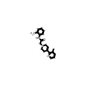 Cc1cccnc1C1=CCN(CC(=O)Nc2ccccc2C(F)(F)F)CC1